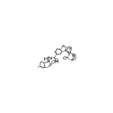 CC[C@]1(C)CC(=O)N([C@@H]2C[C@@H](C)c3ccc(C(=O)N[C@@H]4c5ccc(C)cc5C[C@]4(C)O)cc32)C(=N)N1